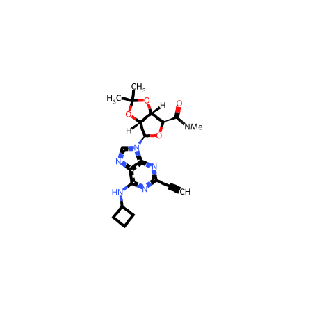 C#Cc1nc(NC2CCC2)c2ncn([C@@H]3O[C@H](C(=O)NC)[C@H]4OC(C)(C)O[C@H]43)c2n1